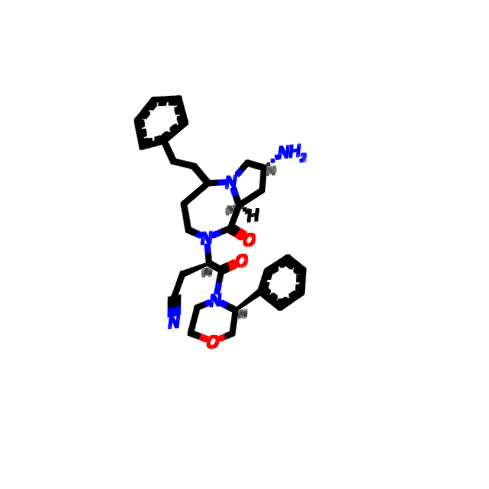 N#CC[C@H](C(=O)N1CCOC[C@@H]1c1ccccc1)N1CCC(CCc2ccccc2)N2C[C@H](N)C[C@H]2C1=O